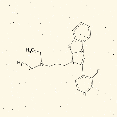 CCN(CC)CCCN1C(c2ccncc2F)=CN2c3ccccc3SC12